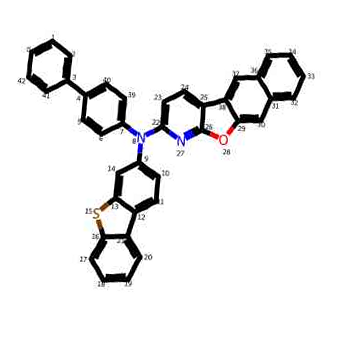 c1ccc(-c2ccc(N(c3ccc4c(c3)sc3ccccc34)c3ccc4c(n3)oc3cc5ccccc5cc34)cc2)cc1